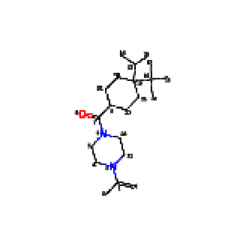 C=C(C)N1CCN(C(=O)C2CCC(C(C)C)(C(C)(C)C)CC2)CC1